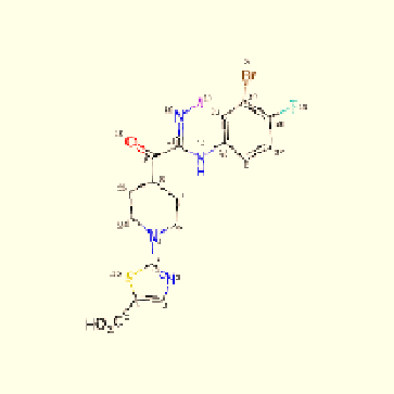 O=C(O)c1cnc(N2CCC(C(=O)/C(=N/I)Nc3ccc(F)c(Br)c3)CC2)s1